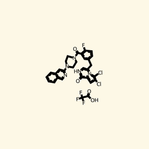 O=C(O)C(F)(F)F.O=C(c1cc(Cc2c[nH]c(=O)c3cc(Cl)c(Cl)n23)ccc1F)N1CCN(c2cc3ccccc3cn2)CC1